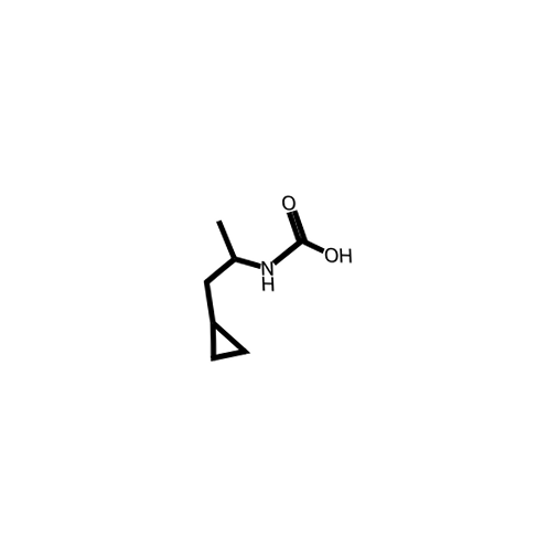 CC(CC1CC1)NC(=O)O